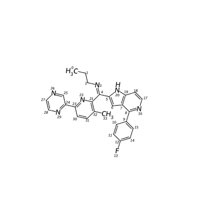 CCC/N=C(/c1cc2c(-c3ccc(F)cc3)nccc2[nH]1)c1nc(-c2cnccn2)ccc1C